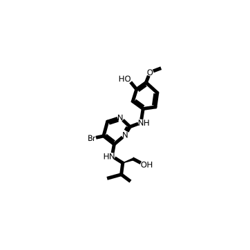 COc1ccc(Nc2ncc(Br)c(N[C@@H](CO)C(C)C)n2)cc1O